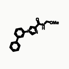 COCNC(=O)c1cn(-c2cccc(-c3ccccc3)c2)cn1